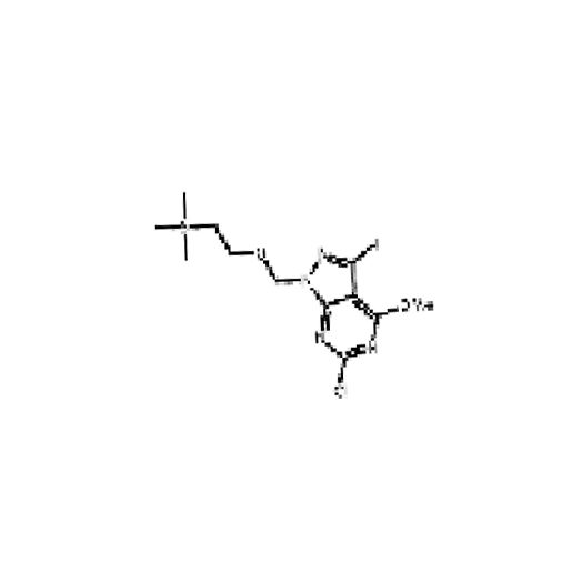 COc1nc(Cl)nc2c1c(I)nn2COCC[Si](C)(C)C